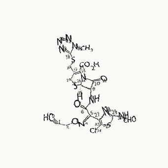 C#CCO/N=C(\C(=O)NC1C(=O)N2C(C(=O)O)=C(CSc3nnnn3C)CS[C@H]12)c1nc(NC=O)sc1Cl